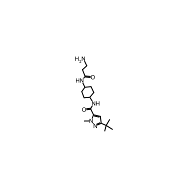 Cn1nc(C(C)(C)C)cc1C(=O)NC1CCC(NC(=O)CCN)CC1